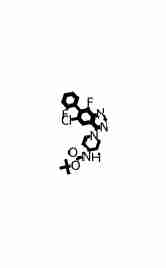 CC(C)(C)OC(=O)NC1CCN(c2ncnc3c(F)c(-c4ccccc4F)c(Cl)cc23)CC1